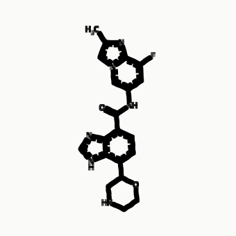 Cc1cn2cc(NC(=O)c3ccc(C4CNCCO4)c4[nH]cnc34)cc(F)c2n1